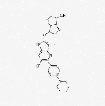 OC1COC2C(Oc3cc4nc(-c5ccc(N6CCCCC6)cc5)c(Cl)cc4[nH]3)COC12